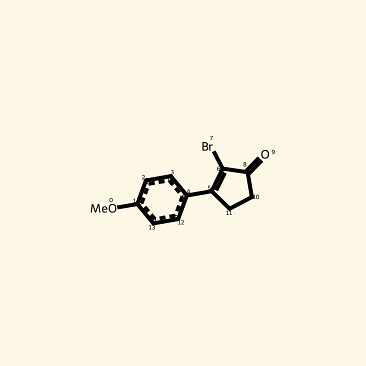 COc1ccc(C2=C(Br)C(=O)CC2)cc1